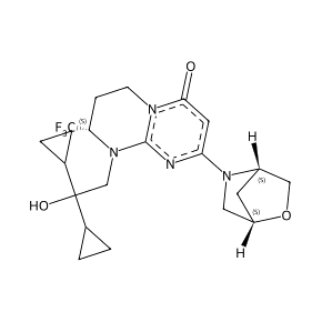 O=c1cc(N2C[C@@H]3C[C@H]2CO3)nc2n1CC[C@@H](C(F)(F)F)N2CC(O)(C1CC1)C1CC1